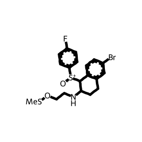 CSOCCNC1CCc2cc(Br)ccc2C1[S+]([O-])c1ccc(F)cc1